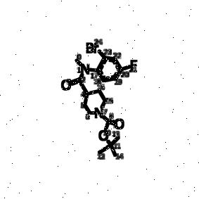 CN(C(=O)C1CCN(C(=O)OC(C)(C)C)CC1)c1ccc(F)cc1Br